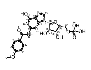 COc1ccc(C(=O)Nc2nc(O)c3ncn([C@@H]4O[C@H](COP(=O)(O)O)[C@H](O)[C@H]4O)c3n2)cc1